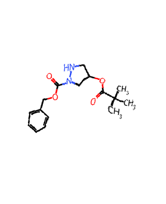 CC(C)(C)C(=O)OC1CNN(C(=O)OCc2ccccc2)C1